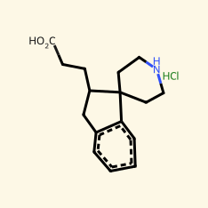 Cl.O=C(O)CCC1Cc2ccccc2C12CCNCC2